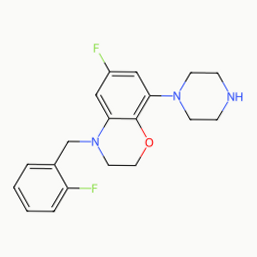 Fc1cc(N2CCNCC2)c2c(c1)N(Cc1ccccc1F)CCO2